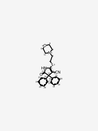 N#CC1=C(SCCN2CCOCC2)NC(=O)C1(c1ccccc1)c1ccccc1